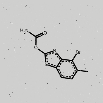 Cc1ccc2sc(OC(N)=O)nc2c1Br